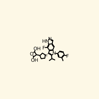 Cc1cc(-n2c(C(C)C)c([C@@H]3CCC(C4C(O)OC4O)C3)c3c(F)c4[nH]ncc4cc32)ccc1F